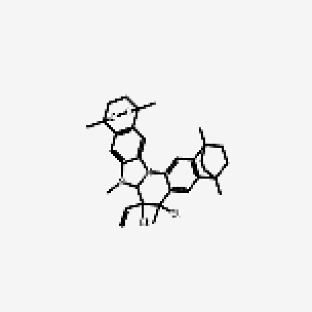 C=CC1(CC)C2N(C)c3cc4c(cc3N2c2cc3c(cc2C1(C)CC)C1(C)CCC3(C)CC1)C1(C)CCC4(C)CC1